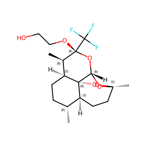 C[C@@H]1CC[C@H]2[C@@H](C)[C@](OCCO)(C(F)(F)F)O[C@@H]3O[C@]4(C)CC[C@@H]1[C@]32OO4